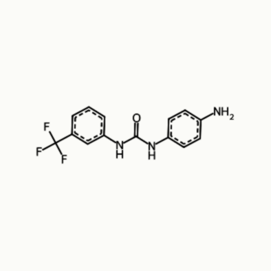 Nc1ccc(NC(=O)Nc2cccc(C(F)(F)F)c2)cc1